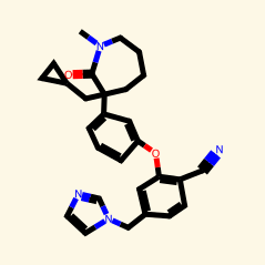 CN1CCCCC(CC2CC2)(c2cccc(Oc3cc(Cn4ccnc4)ccc3C#N)c2)C1=O